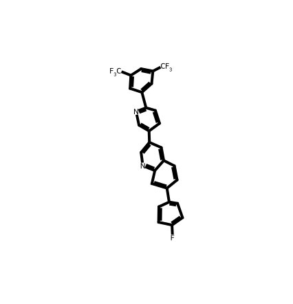 Fc1ccc(-c2ccc3cc(-c4ccc(-c5cc(C(F)(F)F)cc(C(F)(F)F)c5)nc4)cnc3c2)cc1